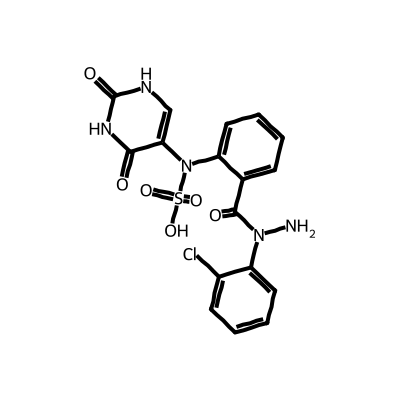 NN(C(=O)c1ccccc1N(c1c[nH]c(=O)[nH]c1=O)S(=O)(=O)O)c1ccccc1Cl